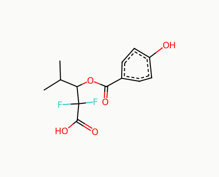 CC(C)C(OC(=O)c1ccc(O)cc1)C(F)(F)C(=O)O